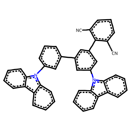 N#Cc1cccc(C#N)c1-c1cc(-c2cccc(-n3c4ccccc4c4ccccc43)c2)cc(-n2c3ccccc3c3ccccc32)c1